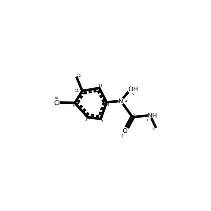 CNC(=O)N(O)c1ccc(Cl)c(C)c1